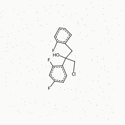 OC(CCl)(Cc1ccccc1F)c1ccc(F)cc1F